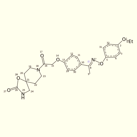 CCOc1ccc(O/N=C(\C)c2ccc(OCC(=O)N3CCC4(CC3)CNC(=O)O4)cc2)cc1